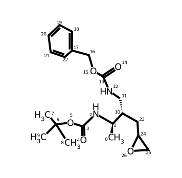 C[C@@H](NC(=O)OC(C)(C)C)[C@H](CNC(=O)OCc1ccccc1)CC1CO1